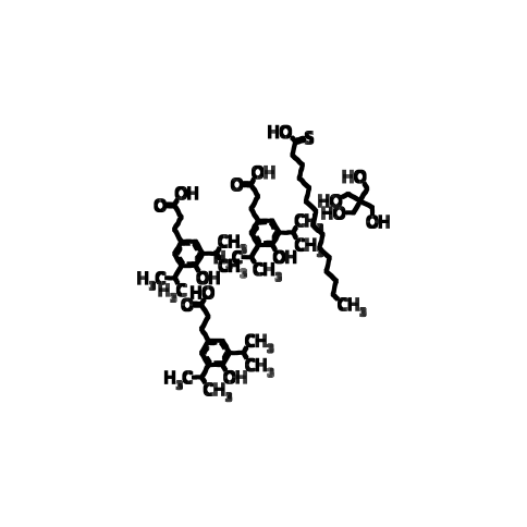 CC(C)c1cc(CCC(=O)O)cc(C(C)C)c1O.CC(C)c1cc(CCC(=O)O)cc(C(C)C)c1O.CC(C)c1cc(CCC(=O)O)cc(C(C)C)c1O.CCCCCCCCCCCCCCC(O)=S.OCC(CO)(CO)CO